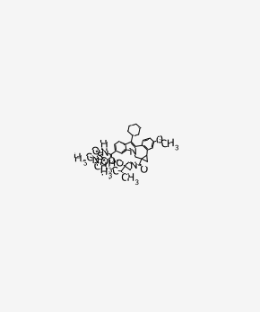 COc1ccc2c(c1)C1CC1(C(=O)N1CC(O)(C(C)C)C1)Cn1c-2c(C2CCCCC2)c2ccc(C(=O)NS(=O)(=O)N(C)C)cc21